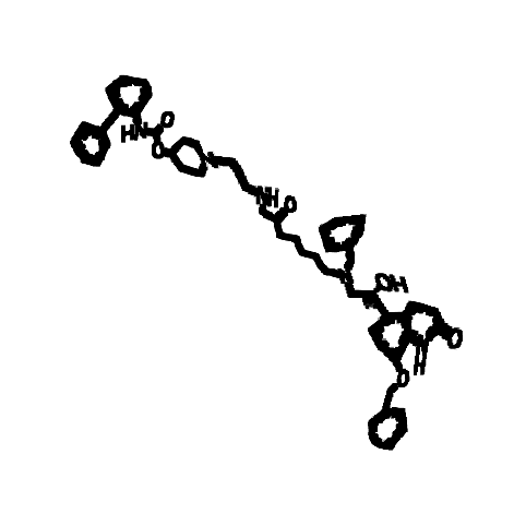 O=C(CCCCCN(Cc1ccccc1)C[C@H](O)c1ccc(OCc2ccccc2)c2[nH]c(=O)ccc12)CNCCN1CCC(OC(=O)Nc2ccccc2-c2ccccc2)CC1